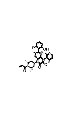 C=CC(=O)N1[C@H](C)CC(n2c(=O)c(=O)n(-c3c(C)ccnc3C(C)C)c3nc(-c4c(O)cccc4F)c(F)cc32)C[C@@H]1C